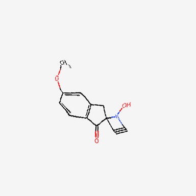 COc1ccc2c(c1)CC1(C#CN1O)C2=O